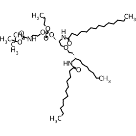 C=CCOP(=O)(OCCNC(=O)OC(C)(C)C)OC[C@@H](COCC[C@H](CCCCCCC)NC(=O)CCCCCCCCCCC)NC(=O)CCCCCCCCCCCCC